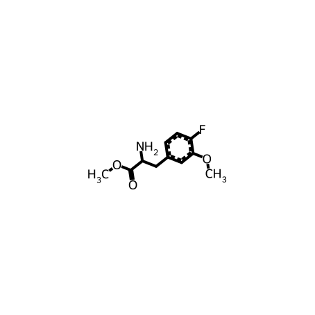 COC(=O)C(N)Cc1ccc(F)c(OC)c1